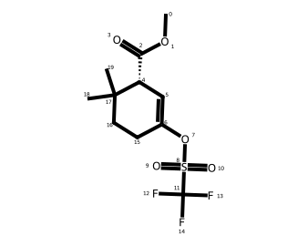 COC(=O)[C@@H]1C=C(OS(=O)(=O)C(F)(F)F)CCC1(C)C